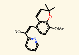 COc1ccc(/C=C(/C#N)c2ccccn2)c2c1OC(C)(C)C=C2